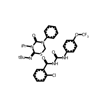 CC(C)N1C(=O)N(c2ccccc2)CSC1=NC(C)(C)C.O=C(NC(=O)c1ccccc1Cl)Nc1ccc(OC(F)(F)F)cc1